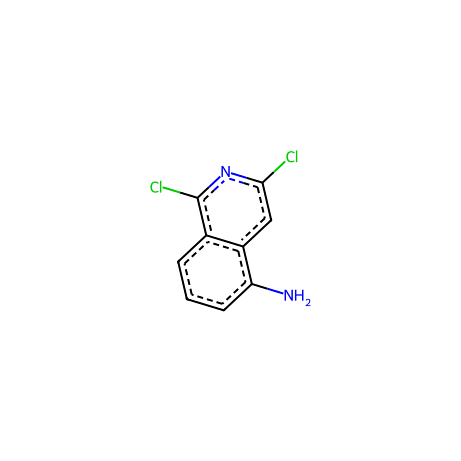 Nc1cccc2c(Cl)nc(Cl)cc12